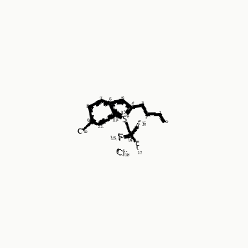 CCCCc1cc2ccc(Cl)cc2[s+]1C(F)(F)F.[Cl-]